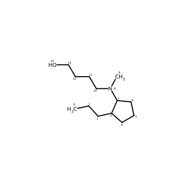 CCCC1CCCC1N(C)CCCCO